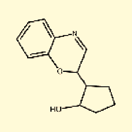 OC1CCCC1C1C=Nc2ccccc2O1